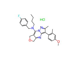 CCCCN(Cc1ccc(F)cc1)c1c2c(nc3c(-c4ccc(OC)cc4C)c(C)nn13)COC2.Cl